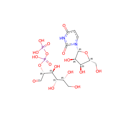 O=C[C@H](OP(=O)(O)OP(=O)(O)O)[C@@H](O)[C@@H](O)[C@H](O)CO.O=c1ccn([C@@H]2O[C@H](CO)[C@@H](O)[C@H]2O)c(=O)[nH]1